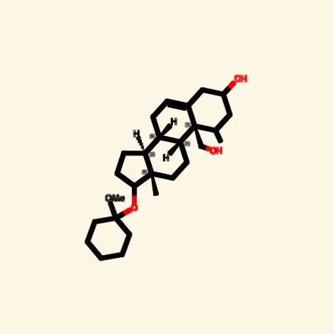 COC1(OC2CC[C@H]3[C@@H]4CC=C5CC(O)CC(C)[C@]5(CO)[C@@H]4CC[C@]23C)CCCCC1